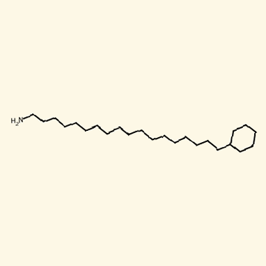 NCCCCCCCCCCCCCCCCCCC1CCCCC1